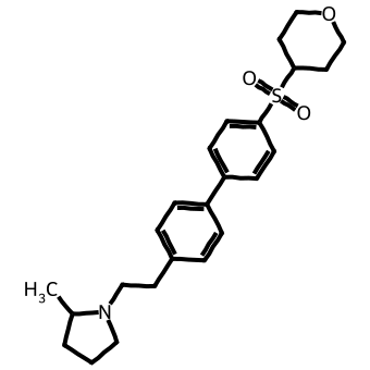 CC1CCCN1CCc1ccc(-c2ccc(S(=O)(=O)C3CCOCC3)cc2)cc1